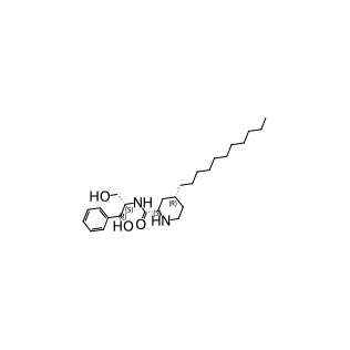 CCCCCCCCCCC[C@@H]1CCN[C@H](C(=O)N[C@@H](CO)[C@H](O)c2ccccc2)C1